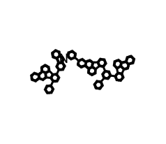 c1ccc(-c2cc(-c3cccc4c3-c3cccc5c3c-4cc3ccccc35)cc(-c3cccc4c3-c3cccc5c3c-4cc3cc(-c4cccc(-n6c7ccccc7c7cc(-c8ccc(-c9ccccc9)c9c8-c8cccc%10c8c-9cc8ccccc8%10)ccc76)c4)ccc35)c2)cc1